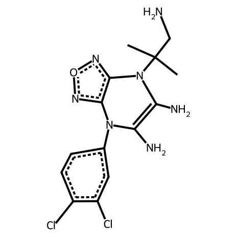 CC(C)(CN)N1C(N)=C(N)N(c2ccc(Cl)c(Cl)c2)c2nonc21